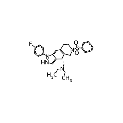 CCN(CC)C[C@@H]1C2=CNN(c3ccc(F)cc3)C2=CC2=C1CN(S(=O)(=O)c1ccccc1)CC2